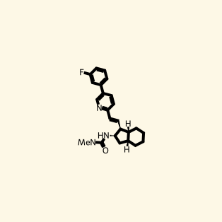 CNC(=O)N[C@H]1C[C@H]2CCCC[C@H]2[C@@H]1/C=C/c1ccc(-c2cccc(F)c2)cn1